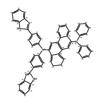 C1=c2c(N(c3ccc(-c4nc5ccccc5[nH]4)cc3)c3ccc(-c4nc5ccccc5[nH]4)cc3)cc3c(cc(N(c4ccccc4)c4ccccc4)c4ccccc43)c2=CCC1